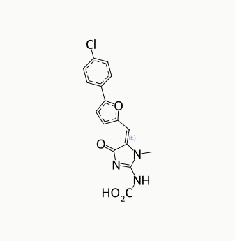 CN1C(NC(=O)O)=NC(=O)/C1=C\c1ccc(-c2ccc(Cl)cc2)o1